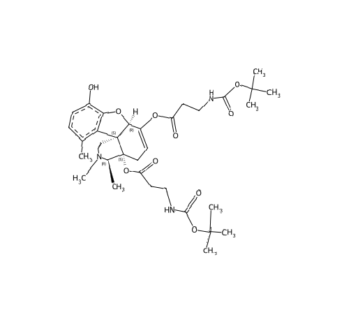 Cc1ccc(O)c2c1[C@]13CCN(C)[C@H](C)[C@]1(OC(=O)CCNC(=O)OC(C)(C)C)CC=C(OC(=O)CCNC(=O)OC(C)(C)C)[C@@H]3O2